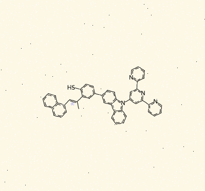 C/C(=C\c1cccc2ccccc12)c1cc(-c2ccc3c(c2)c2ccccc2n3-c2cc(-c3ccccn3)nc(-c3ccccn3)c2)ccc1S